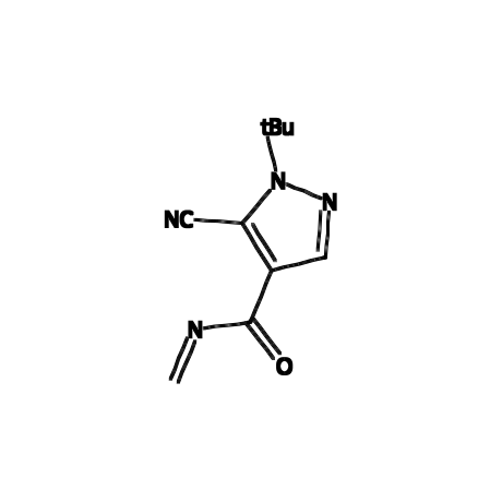 C=NC(=O)c1cnn(C(C)(C)C)c1C#N